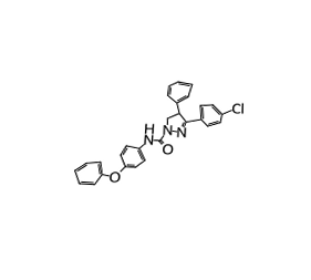 O=C(Nc1ccc(Oc2ccccc2)cc1)N1CC(c2ccccc2)C(c2ccc(Cl)cc2)=N1